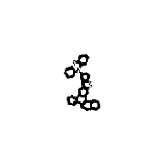 c1ccc2c(c1)Sc1ccccc1N2c1ccc2sc3cc4c(cc3c2c1)c1ccccc1c1ccc2ccccc2c14